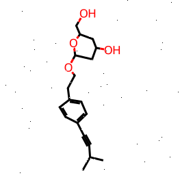 CC(C)C#Cc1ccc(CCOC2CC(O)CC(CO)O2)cc1